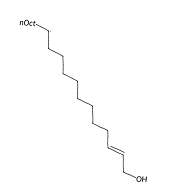 CCCCCCCC[CH]CCCCCCCCC=CCO